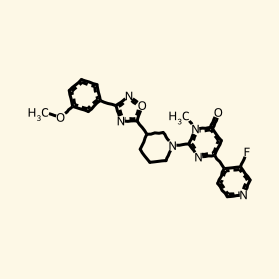 COc1cccc(-c2noc(C3CCCN(c4nc(-c5ccncc5F)cc(=O)n4C)C3)n2)c1